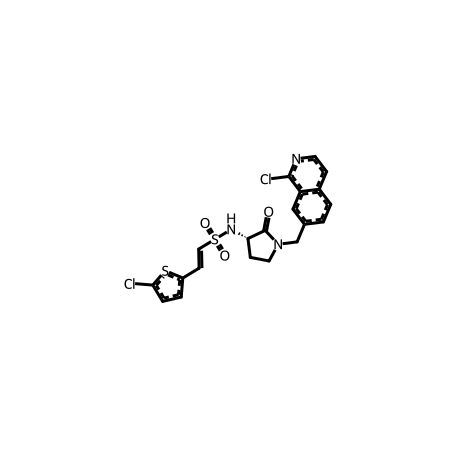 O=C1[C@@H](NS(=O)(=O)C=Cc2ccc(Cl)s2)CCN1Cc1ccc2ccnc(Cl)c2c1